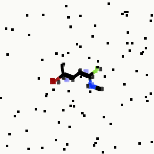 C=N/C(F)=C\C=C(/C)Br